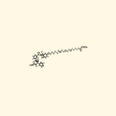 COC(=O)CCCCCOCCOCCOCCCCCCOc1ccc(F)c(C(C)NC(=O)c2cccc(NCC(=N)N(C)C(=N)c3ccncn3)c2)c1